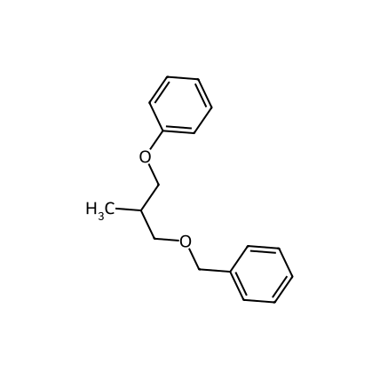 CC(COCc1ccccc1)COc1ccccc1